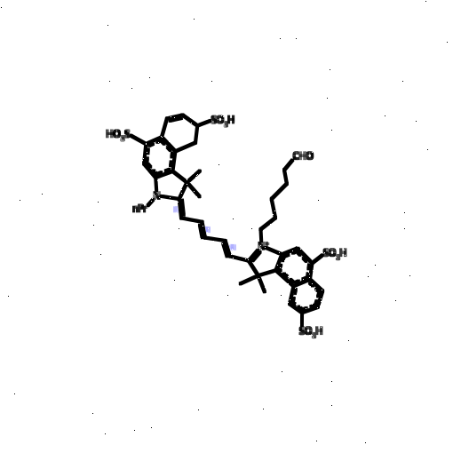 CCCN1/C(=C/C=C/C=C/C2=[N+](CCCCCC=O)c3cc(S(=O)(=O)O)c4ccc(S(=O)(=O)O)cc4c3C2(C)C)C(C)(C)c2c1cc(S(=O)(=O)O)c1c2CC(S(=O)(=O)O)C=C1